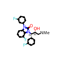 CNC[C@@H](O)[C@H](c1cccc(F)c1)n1c(=O)n(-c2cccc(F)c2)c2cccc(F)c21